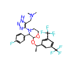 C[C@@H](OC1OCCN(c2nn[nH]c2CN(C)C)C1c1ccc(F)cc1)c1cc(C(F)(F)F)cc(C(F)(F)F)c1